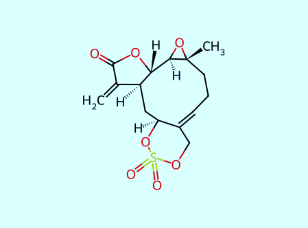 C=C1C(=O)O[C@@H]2[C@H]3O[C@]3(C)CC/C=C3\COS(=O)(=O)O[C@H]3C[C@@H]12